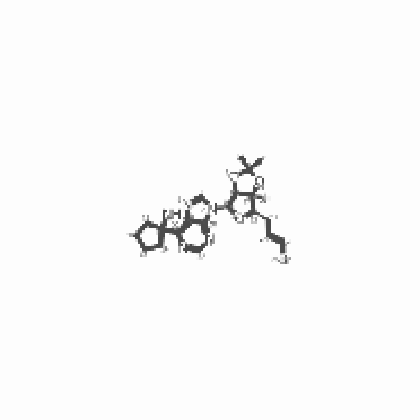 CC1(C)OC2[C@H](n3cnc4c(C5(N)CCCC5)ncnc43)O[C@H](CC=CBr)[C@H]2O1